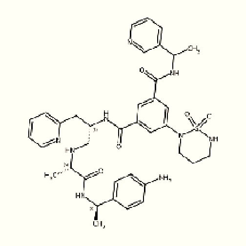 CC(NC(=O)c1cc(C(=O)N[C@H](CN[C@@H](C)C(=O)N[C@H](C)c2ccc(N)cc2)Cc2ccccn2)cc(N2CCCNS2(=O)=O)c1)c1cccnc1